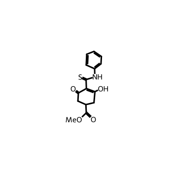 COC(=O)C1CC(=O)C(C(=S)Nc2ccccc2)=C(O)C1